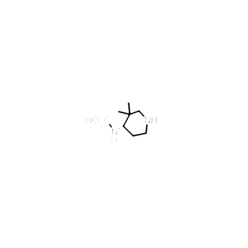 CC1(C)CNCC[C@@H]1NC(=O)O